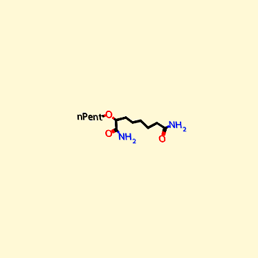 CCCCCOC(CCCCCC(N)=O)C(N)=O